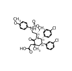 CC[C@@H](CN(c1ccc(OC)cc1)[SH](=O)=O)N1C(=O)[C@@](C)(CC(=O)O)C[C@H](c2cccc(Cl)c2)[C@H]1c1ccc(Cl)cc1